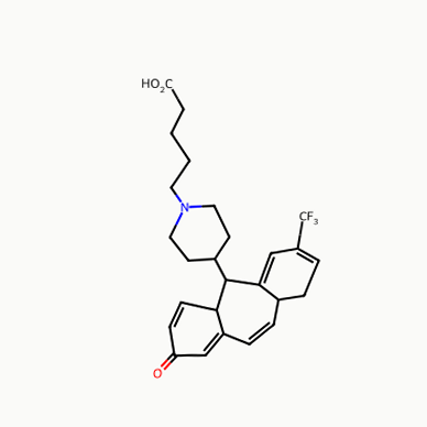 O=C1C=CC2C(=C1)C=CC1CC=C(C(F)(F)F)C=C1C2C1CCN(CCCCC(=O)O)CC1